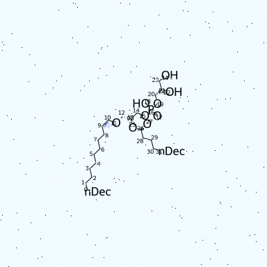 CCCCCCCCCCCCCCCCCC/C=C\OC[C@H](COP(=O)(O)OC[C@@H](O)CO)OC(=O)CCCCCCCCCCCCC